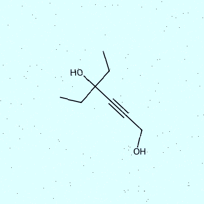 CCC(O)(C#CCO)CC